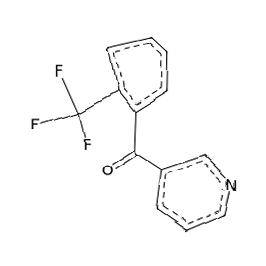 O=C(c1cccnc1)c1ccccc1C(F)(F)F